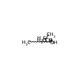 CCCCCCCCCCCCCC(CCCC(=O)O)C(C)(C)C(C)CCCC